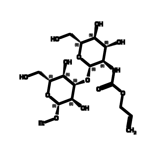 C=CCOC(=O)N[C@H]1[C@H](O[C@H]2[C@@H](O)[C@@H](CO)O[C@@H](OCC)[C@@H]2O)O[C@H](CO)[C@@H](O)[C@@H]1O